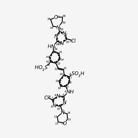 O=S(=O)(O)c1cc(Nc2nc(Cl)nc(N3CCOCC3)n2)ccc1C=Cc1ccc(Nc2nc(Cl)nc(N3CCOCC3)n2)cc1S(=O)(=O)O